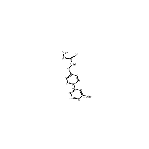 CC(C)(C)OC(=O)NCc1ccc(-c2cncc(Br)c2)cc1